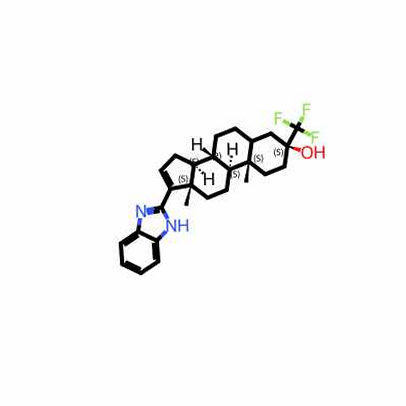 C[C@]12CC[C@@](O)(C(F)(F)F)CC1CC[C@@H]1[C@@H]2CC[C@]2(C)C(c3nc4ccccc4[nH]3)=CC[C@@H]12